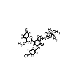 C[C@@H](NC(=O)C1=CC(Cc2ccc(Cl)cc2)C(=O)C2=C1SCN2NC(=O)OC(C)(C)C)c1ccc(F)cc1